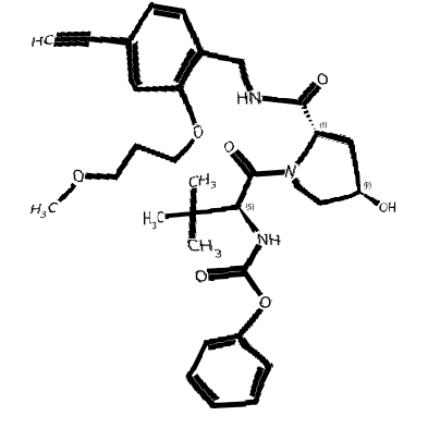 C#Cc1ccc(CNC(=O)[C@@H]2C[C@@H](O)CN2C(=O)[C@@H](NC(=O)Oc2ccccc2)C(C)(C)C)c(OCCCOC)c1